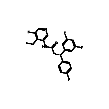 CCc1c(F)cncc1NC(=O)C[C@@H](c1ccc(F)cc1)c1cc(F)cc(F)c1